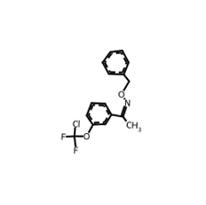 CC(=NOCc1ccccc1)c1cccc(OC(F)(F)Cl)c1